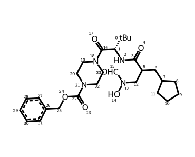 CC(C)(C)[C@H](NC(=O)C(CC1CCCC1)CN(O)C=O)C(=O)N1CCN(C(=O)OCc2ccccc2)CC1